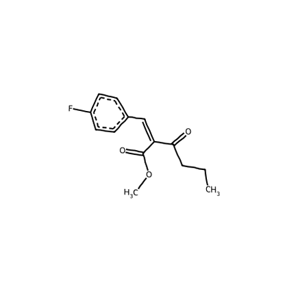 CCCC(=O)C(=Cc1ccc(F)cc1)C(=O)OC